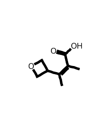 CC(C(=O)O)=C(C)C1COC1